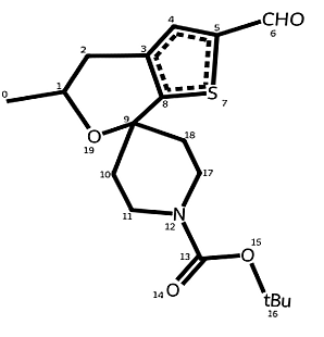 CC1Cc2cc(C=O)sc2C2(CCN(C(=O)OC(C)(C)C)CC2)O1